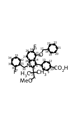 COCC(C)(C)c1c(-c2ccc(C(=O)O)cc2)c2c(OCc3ccccc3)c(F)ccc2n1Cc1ccccc1F